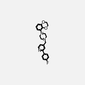 Fc1ccc(-c2cc(CN3CCN(c4cccc5c4OCCO5)CC3)ccn2)cc1